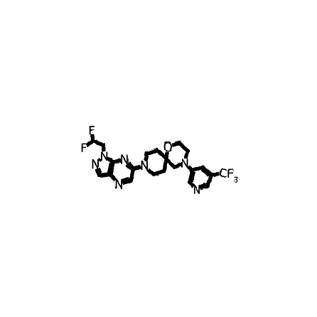 FC(F)Cn1ncc2ncc(N3CCC4(CC3)CN(c3cncc(C(F)(F)F)c3)CCO4)nc21